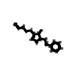 CC1C(CCOC=O)=NOC1COc1ccccc1